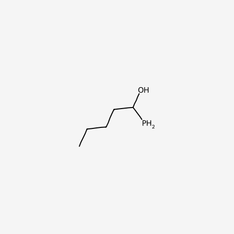 CCCCC(O)P